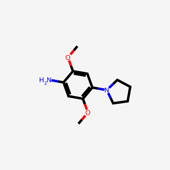 COc1cc(N2CCCC2)c(OC)cc1N